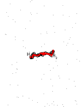 C=C(CC(=O)OC1CCCCC1)C(=O)OCCCCCCOc1ccc(C(=O)Oc2ccc(-c3ccc(OCCCOC(=O)C(=C)CC(=O)OC4CCCCC4)cc3)cc2)cc1